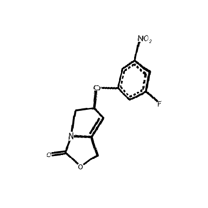 O=C1OCC2=CC(Oc3cc(F)cc([N+](=O)[O-])c3)CN12